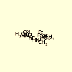 C=C(/C=C(\C=C(/C)C(F)(F)F)C(=C)NCC1CCN(CCNC(=O)C(C)(C)C)CC1)OC